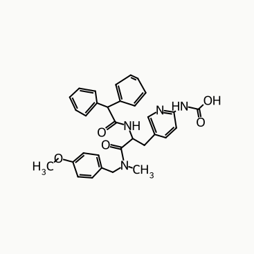 COc1ccc(CN(C)C(=O)C(Cc2ccc(NC(=O)O)nc2)NC(=O)C(c2ccccc2)c2ccccc2)cc1